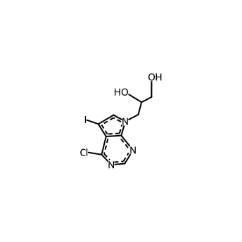 OCC(O)Cn1cc(I)c2c(Cl)ncnc21